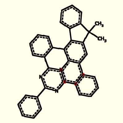 CC1(C)c2ccccc2-c2c1cc1ccccc1c2-c1ccccc1-c1nc(-c2ccccc2)nc(-c2ccccc2)n1